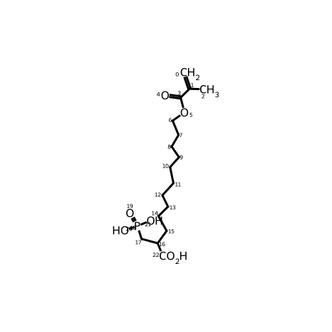 C=C(C)C(=O)OCCCCCCCCCCC(CP(=O)(O)O)C(=O)O